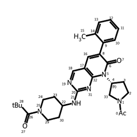 CC(=O)N1CC[C@@H](n2c(=O)c(-c3ccccc3C)cc3cnc(NC4CCN(C(=O)C(C)(C)C)CC4)nc32)C1